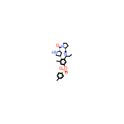 CCCc1cc(OS(=O)(=O)c2ccc(C)cc2)cc(C)c1[C@@H]1CN[C@H](C(=O)N2CCC[C@H]2C#N)C1